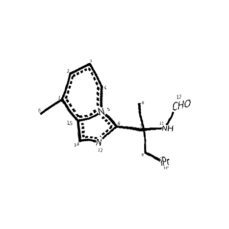 Cc1cccn2c(C(C)(CC(C)C)NC=O)ncc12